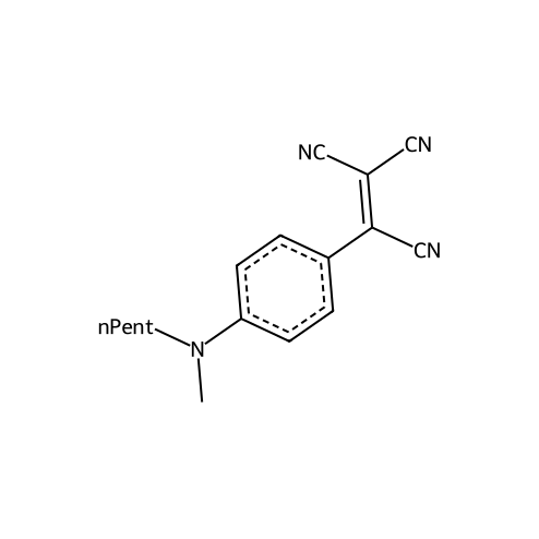 CCCCCN(C)c1ccc(C(C#N)=C(C#N)C#N)cc1